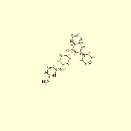 Nc1nccc(N[C@H]2CC[C@@H](Oc3cc(N4CCOCC4)cc4nccnc34)CC2)n1